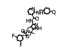 COc1ccc(CNc2ncccc2C(=O)Nc2n[nH]c3c2CN(S(=O)(=O)c2cc(F)cc(F)c2)C3(C)C)cc1